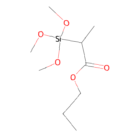 CCCOC(=O)C(C)[Si](OC)(OC)OC